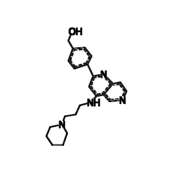 OCc1ccc(-c2cc(NCCCN3CCCCC3)c3cnccc3n2)cc1